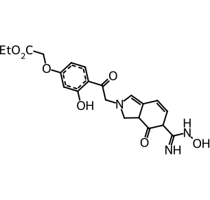 CCOC(=O)COc1ccc(C(=O)CN2C=C3C=CC(C(=N)NO)C(=O)C3C2)c(O)c1